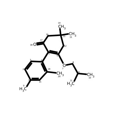 Cc1ccc(C2=C(OCC(C)C)CC(C)(C)CC2=O)c(C)c1